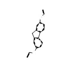 C=COc1ccc2c(c1)Cc1cc(OC=C)ccc1-2